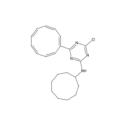 Clc1nc(NC2CCCCCCCC2)nc(-c2ccccccccc2)n1